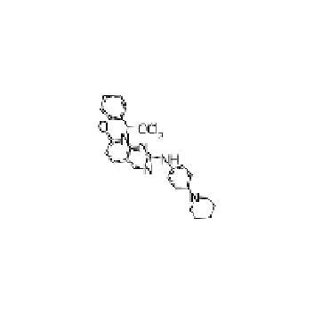 O=c1ccc2cnc(Nc3ccc(N4CCCCC4)cc3)nc2n1C(c1ccccc1)C(Cl)(Cl)Cl